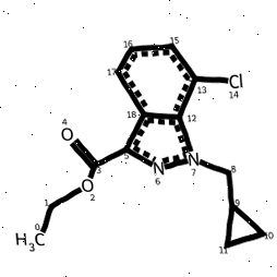 CCOC(=O)c1nn(CC2CC2)c2c(Cl)cccc12